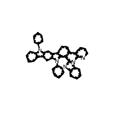 c1ccc(-n2c3ccccc3c3cc4c(cc32)c2ccc3c5cccnc5n5c6ccccc6nc5c3c2n4-c2ccccc2)cc1